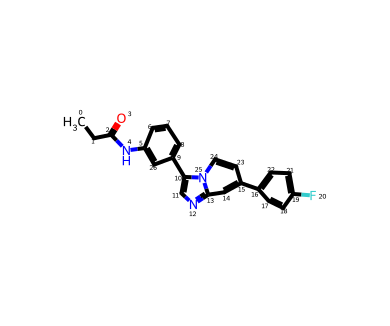 CCC(=O)Nc1cccc(-c2cnc3cc(-c4ccc(F)cc4)ccn23)c1